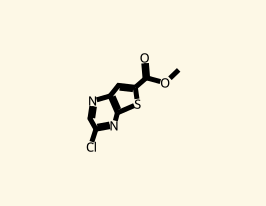 COC(=O)c1cc2ncc(Cl)nc2s1